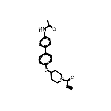 C=CC(=O)N1CCC(Oc2ccc(-c3ccc(NC(C)=O)cc3)cc2)CC1